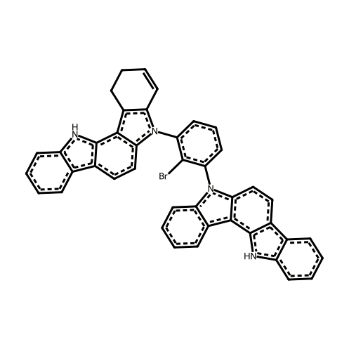 Brc1c(-n2c3c(c4c5[nH]c6ccccc6c5ccc42)CCC=C3)cccc1-n1c2ccccc2c2c3[nH]c4ccccc4c3ccc21